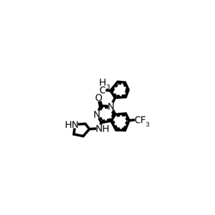 Cc1ccccc1-n1c(=O)nc(NC2CCNC2)c2ccc(C(F)(F)F)cc21